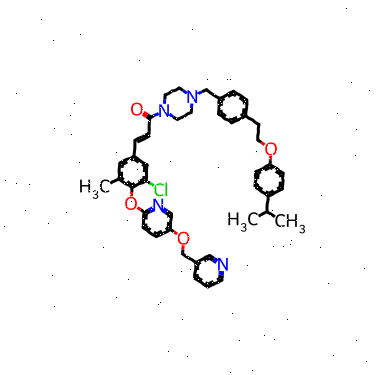 Cc1cc(C=CC(=O)N2CCN(Cc3ccc(CCOc4ccc(C(C)C)cc4)cc3)CC2)cc(Cl)c1Oc1ccc(OCc2cccnc2)cn1